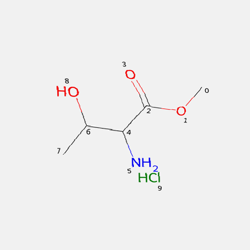 COC(=O)C(N)C(C)O.Cl